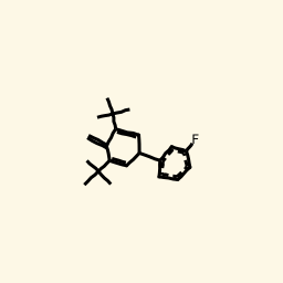 C=C1C(C(C)(C)C)=CC(c2cccc(F)c2)C=C1C(C)(C)C